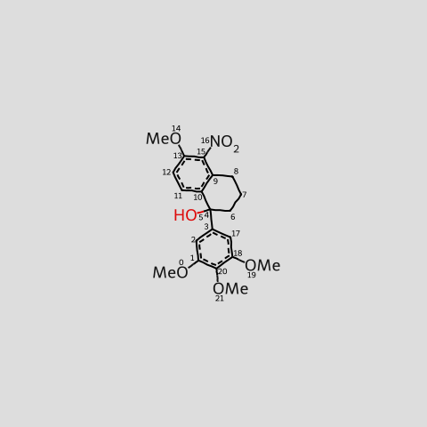 COc1cc(C2(O)CCCc3c2ccc(OC)c3[N+](=O)[O-])cc(OC)c1OC